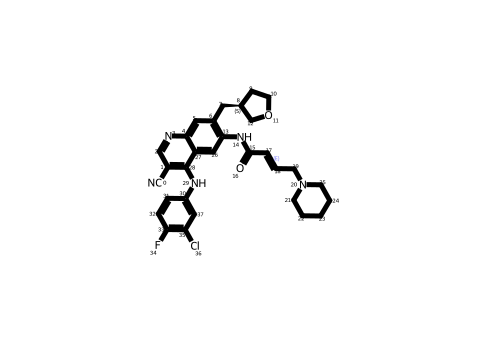 N#Cc1cnc2cc(C[C@H]3CCOC3)c(NC(=O)/C=C/CN3CCCCC3)cc2c1Nc1ccc(F)c(Cl)c1